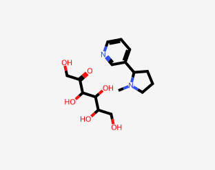 CN1CCCC1c1cccnc1.O=C(CO)C(O)C(O)C(O)CO